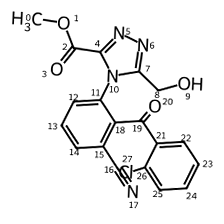 COC(=O)c1nnc(CO)n1-c1cccc(C#N)c1C(=O)c1ccccc1Cl